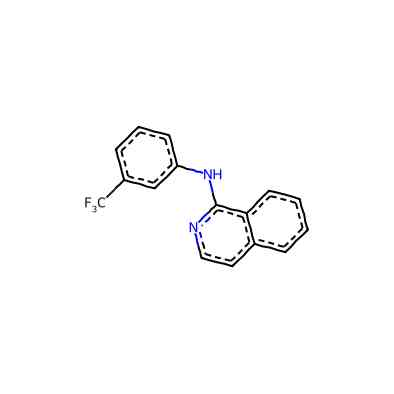 FC(F)(F)c1cccc(Nc2nccc3ccccc23)c1